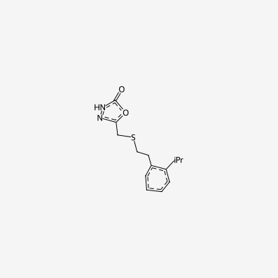 CC(C)c1ccccc1CCSCc1n[nH]c(=O)o1